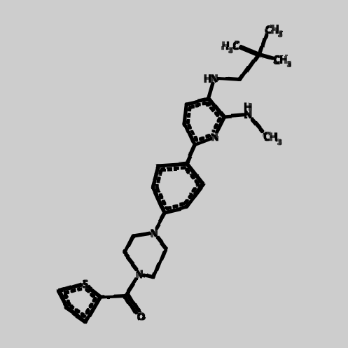 CNc1nc(-c2ccc(N3CCN(C(=O)c4cccs4)CC3)cc2)ccc1NCC(C)(C)C